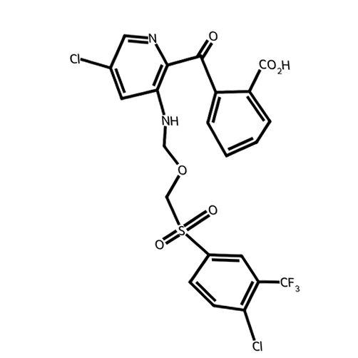 O=C(O)c1ccccc1C(=O)c1ncc(Cl)cc1NCOCS(=O)(=O)c1ccc(Cl)c(C(F)(F)F)c1